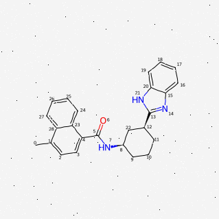 Cc1ccc(C(=O)N[C@@H]2CCC[C@H](c3nc4ccccc4[nH]3)C2)c2ccccc12